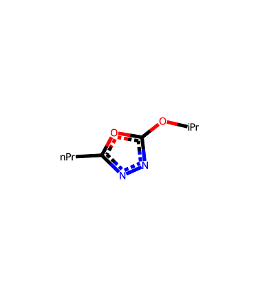 CCCc1nnc(OC(C)C)o1